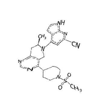 C[C@@H]1Cc2ncnc(C3CCN(S(C)(=O)=O)CC3)c2CN1c1cc(C#N)nc2[nH]ccc12